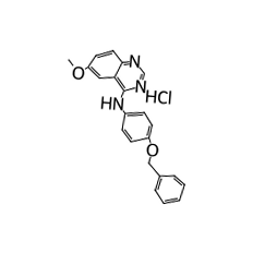 COc1ccc2ncnc(Nc3ccc(OCc4ccccc4)cc3)c2c1.Cl